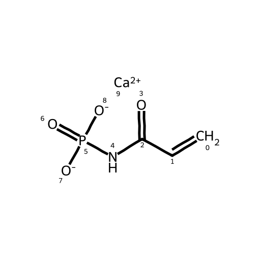 C=CC(=O)NP(=O)([O-])[O-].[Ca+2]